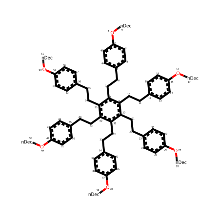 CCCCCCCCCCOc1ccc(CCc2c(CCc3ccc(OCCCCCCCCCC)cc3)c(CCc3ccc(OCCCCCCCCCC)cc3)c(CCc3ccc(OCCCCCCCCCC)cc3)c(CCc3ccc(OCCCCCCCCCC)cc3)c2CCc2ccc(OCCCCCCCCCC)cc2)cc1